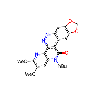 CCCCn1c(=O)c2c3cc4c(cc3nnc2c2nc(OC)c(OC)cc21)OCO4